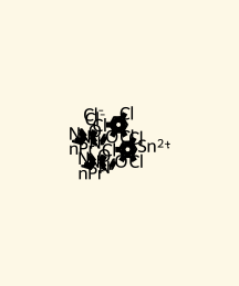 CCCN(CCOc1c(Cl)cc(Cl)cc1Cl)C(=O)n1ccnc1.CCCN(CCOc1c(Cl)cc(Cl)cc1Cl)C(=O)n1ccnc1.[Cl-].[Cl-].[Sn+2]